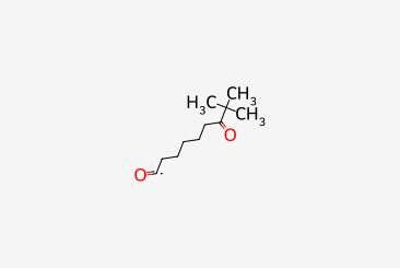 CC(C)(C)C(=O)CCCCC[C]=O